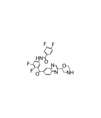 O=C(Nc1cc(F)c(F)c(C(=O)c2ccc3nc(C4CNCCO4)cnc3c2)c1)c1ccc(F)c(F)c1